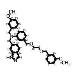 COc1cccc(COCCOCc2cccc(N(Cc3cccc(OC)c3)Cc3ccc4cn[nH]c4c3)c2)c1